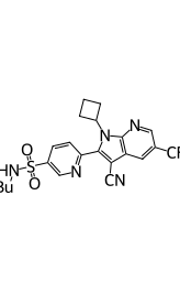 CC(C)(C)NS(=O)(=O)c1ccc(-c2c(C#N)c3cc(C(F)(F)F)cnc3n2C2CCC2)nc1